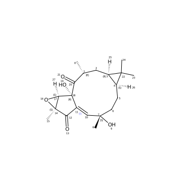 C[C@@H]1C[C@@H]2[C@H](CC[C@](C)(O)/C=C3/C(=O)[C@@]4(C)O[C@H]4[C@@]3(O)C1=O)C2(C)C